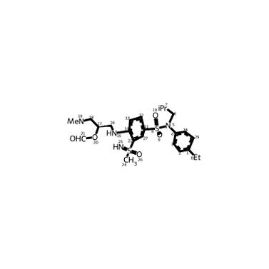 CCc1ccc(N(CC(C)C)S(=O)(=O)c2ccc(NC[C@H](CNC)OC=O)c(S(C)(=N)=O)c2)cc1